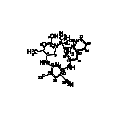 CCC(CN(C(=O)O)C(C)(C)C)Nc1nc(Nc2ccc3ncccc3c2)c(C#N)cc1F